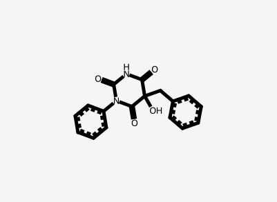 O=C1NC(=O)C(O)(Cc2ccccc2)C(=O)N1c1ccccc1